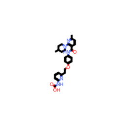 Cc1ccc(C(=O)Nc2ccc(OCCc3cccc(NC(=O)O)n3)cc2)c(N2CCC(C)CC2)n1